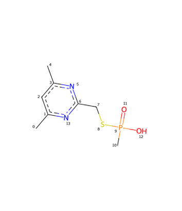 Cc1cc(C)nc(CSP(C)(=O)O)n1